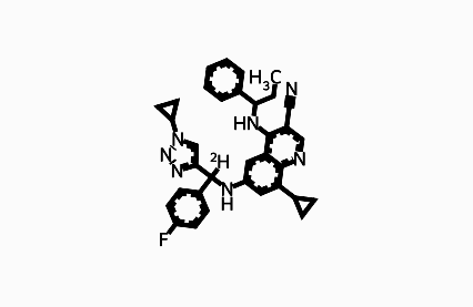 [2H]C(Nc1cc(C2CC2)c2ncc(C#N)c(NC(CC)c3ccccc3)c2c1)(c1ccc(F)cc1)c1cn(C2CC2)nn1